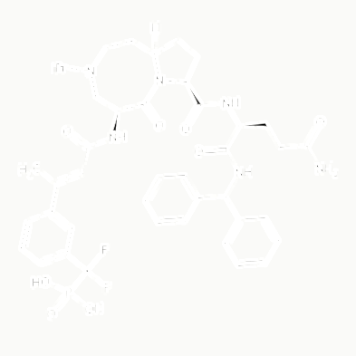 C/C(=C\C(=O)N[C@H]1CN(C(C)C)CC[C@H]2CC[C@@H](C(=O)N[C@@H](CCC(N)=O)C(=O)NC(c3ccccc3)c3ccccc3)N2C1=O)c1cccc(C(F)(F)P(=O)(O)O)c1